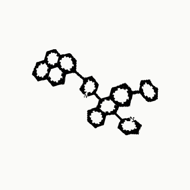 c1ccc(-c2ccc3c(-c4ccc(-c5ccc6ccc7cccc8ccc5c6c78)cn4)c4ccccc4c(-c4ccccn4)c3c2)cc1